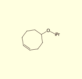 CC(C)OC1CCC=CCCC1